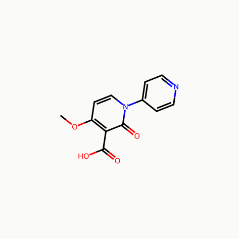 COc1ccn(-c2ccncc2)c(=O)c1C(=O)O